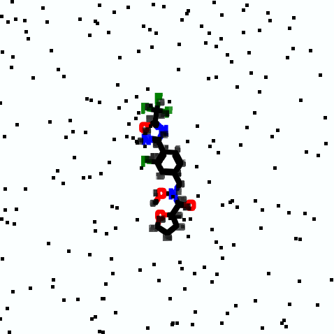 CON(Cc1ccc(-c2noc(C(F)(F)F)n2)c(F)c1)C(=O)C1CCCO1